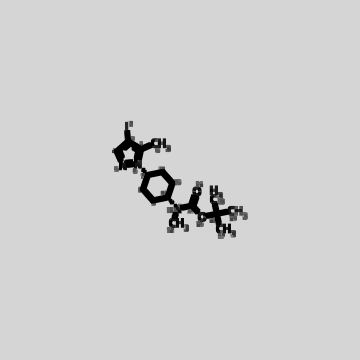 Cc1c(I)cnn1[C@H]1CC[C@@H](N(C)C(=O)OC(C)(C)C)CC1